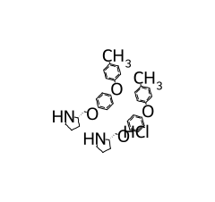 Cc1ccc(Oc2ccc(OC[C@@H]3CCCN3)cc2)cc1.Cc1ccc(Oc2ccc(OC[C@@H]3CCCN3)cc2)cc1.Cl